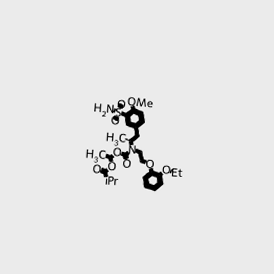 CCOc1ccccc1OCCN(C(=O)OC(C)OC(=O)C(C)C)[C@H](C)Cc1ccc(OC)c(S(N)(=O)=O)c1